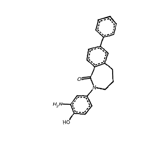 Nc1cc(N2CCCc3cc(-c4ccccc4)ccc3C2=O)ccc1O